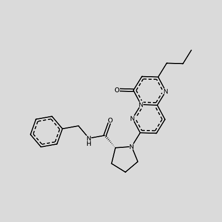 CCCc1cc(=O)n2nc(N3CCC[C@@H]3C(=O)NCc3ccccc3)ccc2n1